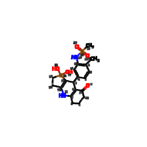 Cc1ccc(C2C3=C(CCCC3=O)NC3=C2S(O)(O)CC3)cc1NS(C)(=O)=O